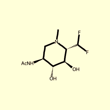 CC(=O)N[C@H]1CN(C)[C@H](C(F)F)[C@@H](O)[C@@H]1O